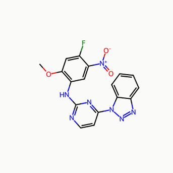 COc1cc(F)c([N+](=O)[O-])cc1Nc1nccc(-n2nnc3ccccc32)n1